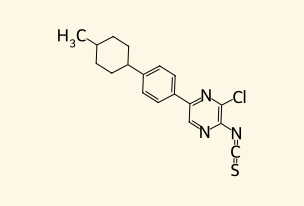 CC1CCC(c2ccc(-c3cnc(N=C=S)c(Cl)n3)cc2)CC1